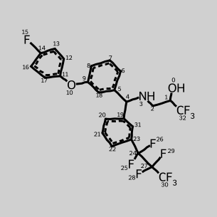 OC(CNC(c1cccc(Oc2ccc(F)cc2)c1)c1cccc(C(F)(F)C(F)(F)C(F)(F)F)c1)C(F)(F)F